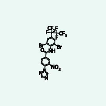 O=C(Nc1c(Br)cc(C(F)(C(F)(F)F)C(F)(F)C(F)(F)F)cc1Br)c1ccc(-n2cncn2)c([N+](=O)[O-])c1